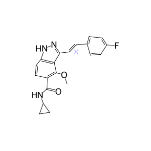 COc1c(C(=O)NC2CC2)ccc2[nH]nc(/C=C/c3ccc(F)cc3)c12